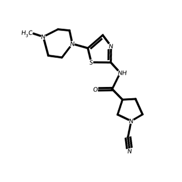 CN1CCN(c2cnc(NC(=O)C3CCN(C#N)C3)s2)CC1